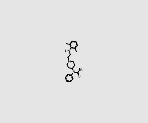 CCC(=O)N(c1ccccc1)C1CCN(CCNc2c(C)cccc2C)CC1